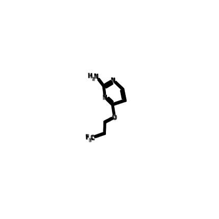 Nc1nccc(OCCC(F)(F)F)n1